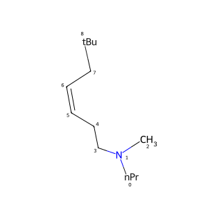 CCCN(C)CC/C=C\CC(C)(C)C